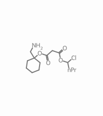 CCCC(Cl)OC(=O)CC(=O)OC1(CN)CCCCC1